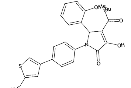 COc1ccccc1C1C(C(=O)C(C)(C)C)=C(O)C(=O)N1c1ccc(-c2csc(C)c2)cc1